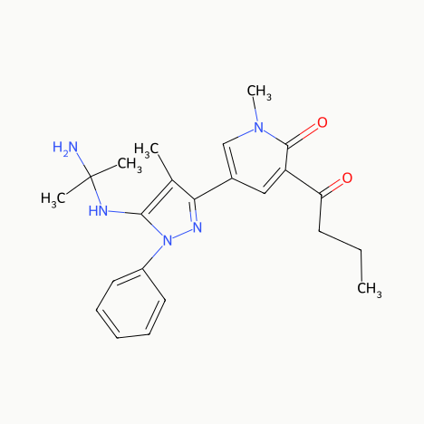 CCCC(=O)c1cc(-c2nn(-c3ccccc3)c(NC(C)(C)N)c2C)cn(C)c1=O